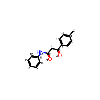 Cc1ccc(C(=O)CC(=O)Nc2ccccc2)cc1